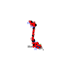 COc1cc(C(=O)NC2CCN(C(=O)COCCOCCOCCOCCNc3cccc4c3C(=O)N(C3CCC(=O)NC3=O)C4=O)CC2)c(F)cc1Nc1ncc2c(n1)N(C1CCCC1)CC(F)(F)C(=O)N2C